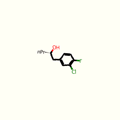 CCC[C@H](O)Cc1ccc(F)c(Cl)c1